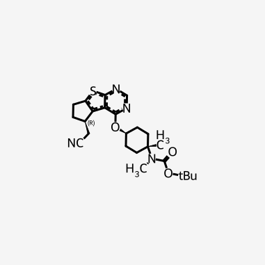 CN(C(=O)OC(C)(C)C)[C@]1(C)CC[C@@H](Oc2ncnc3sc4c(c23)[C@@H](CC#N)CC4)CC1